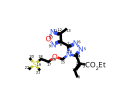 C/C=C(\C(=O)OCC)c1nnc(-c2nonc2C)n1COCCS(C)(C)C